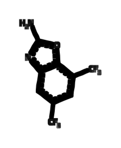 Nc1nc2cc(C(F)(F)F)cc(C(F)(F)F)c2o1